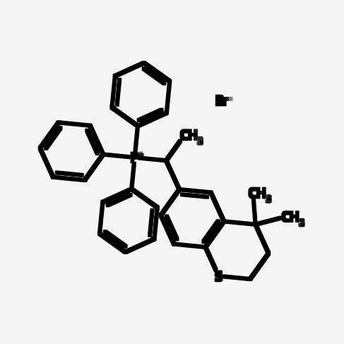 CC(c1ccc2c(c1)C(C)(C)CCS2)[P+](c1ccccc1)(c1ccccc1)c1ccccc1.[Br-]